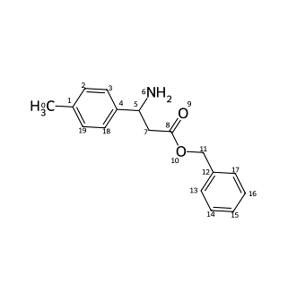 Cc1ccc(C(N)CC(=O)OCc2ccccc2)cc1